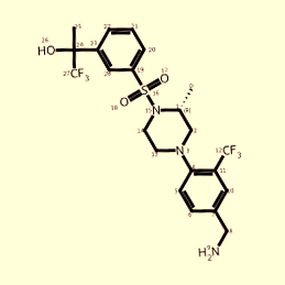 C[C@@H]1CN(c2ccc(CN)cc2C(F)(F)F)CCN1S(=O)(=O)c1cccc(C(C)(O)C(F)(F)F)c1